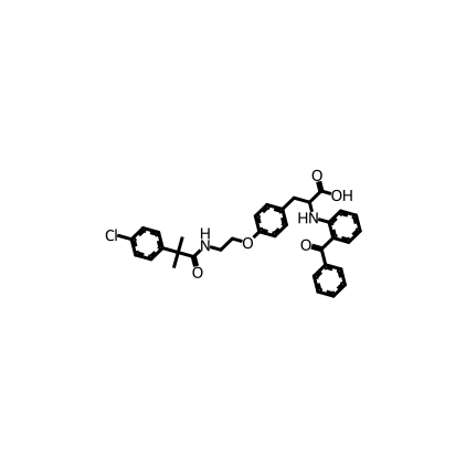 CC(C)(C(=O)NCCOc1ccc(CC(Nc2ccccc2C(=O)c2ccccc2)C(=O)O)cc1)c1ccc(Cl)cc1